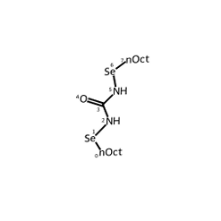 CCCCCCCC[Se]NC(=O)N[Se]CCCCCCCC